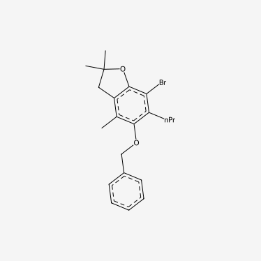 CCCc1c(Br)c2c(c(C)c1OCc1ccccc1)CC(C)(C)O2